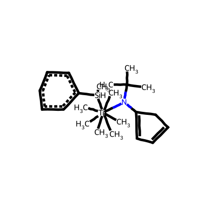 C[SiH](c1ccccc1)[Ti]([CH3])([CH3])([CH3])([CH3])([CH3])([CH3])[N](C1=CC=CC1)C(C)(C)C